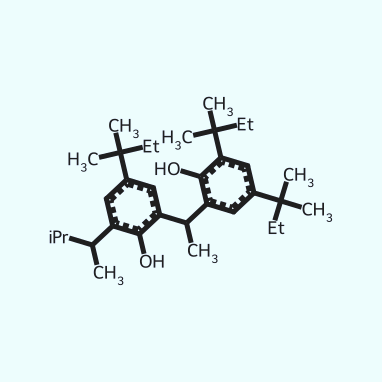 CCC(C)(C)c1cc(C(C)c2cc(C(C)(C)CC)cc(C(C)(C)CC)c2O)c(O)c(C(C)C(C)C)c1